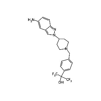 Nc1ccc2nn(C3CCN(Cc4ccc(C(O)(C(F)(F)F)C(F)(F)F)cc4)CC3)cc2c1